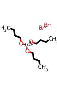 CCCC[O][V+2]([O]CCCC)[O]CCCC.[Br-].[Br-]